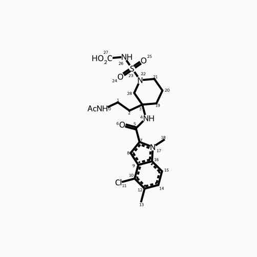 CC(=O)NCCC1(NC(=O)c2cc3c(Cl)c(C)ccc3n2C)CCCN(S(=O)(=O)NC(=O)O)C1